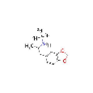 [2H]N(C(C)Cc1ccc2c(c1)OCO2)C([2H])([2H])[2H]